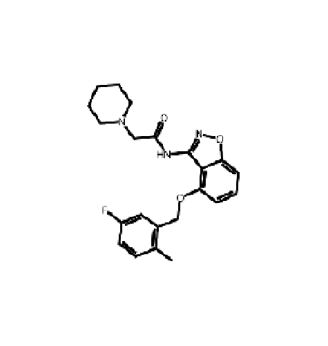 Cc1ccc(F)cc1COc1cccc2onc(NC(=O)CN3CCCCC3)c12